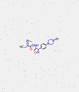 CC(C)C[C@H](Nc1conc1-c1ccc(N2CCN(C(C)C)CC2)cc1)C(=O)NCC#N